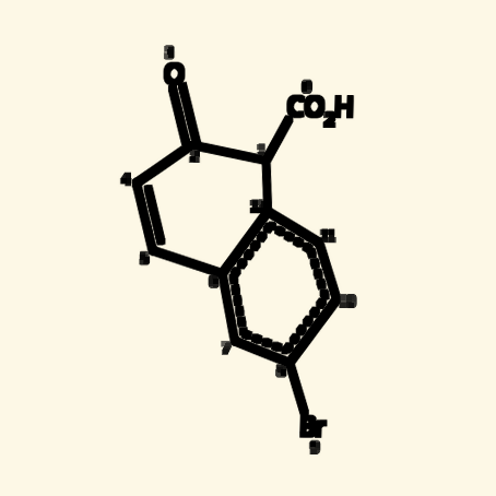 O=C(O)C1C(=O)C=Cc2cc(Br)ccc21